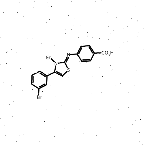 CCn1c(-c2cccc(Br)c2)cs/c1=N\c1ccc(C(=O)O)cc1